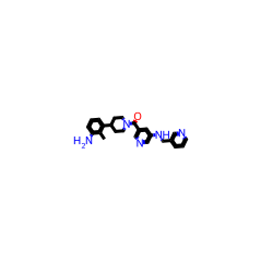 Cc1c(N)cccc1C1CCN(C(=O)c2cncc(NCc3cccnc3)c2)CC1